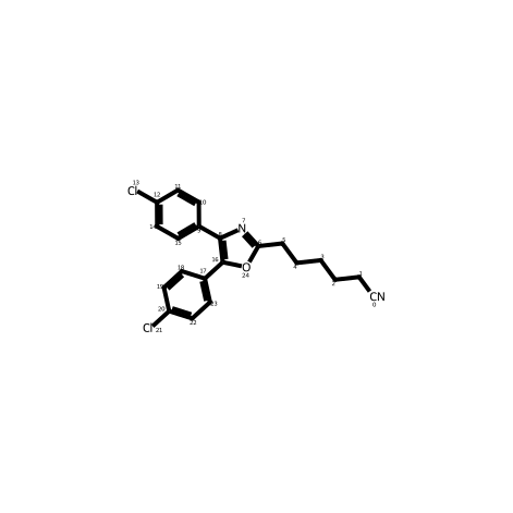 N#CCCCCCc1nc(-c2ccc(Cl)cc2)c(-c2ccc(Cl)cc2)o1